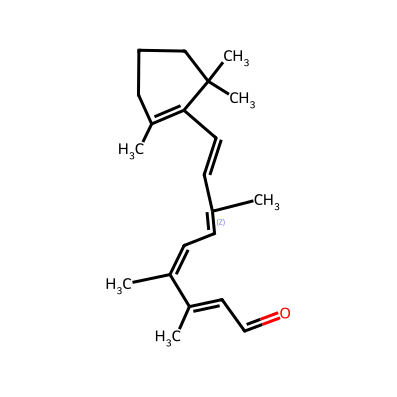 CC(=CC=O)C(C)=C/C=C(/C)C=CC1=C(C)CCCC1(C)C